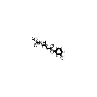 COC(=O)N/C=C/CC(=O)Oc1cccc(Cl)c1